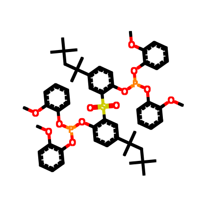 COc1ccccc1OP(Oc1ccccc1OC)Oc1ccc(C(C)(C)CC(C)(C)C)cc1S(=O)(=O)c1cc(C(C)(C)CC(C)(C)C)ccc1OP(Oc1ccccc1OC)Oc1ccccc1OC